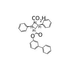 O=C(O)[C@@H]1[C@@H](c2ccccc2)[C@H](C(=O)Oc2cccc(-c3ccccc3)c2)[C@H]1c1ccccc1